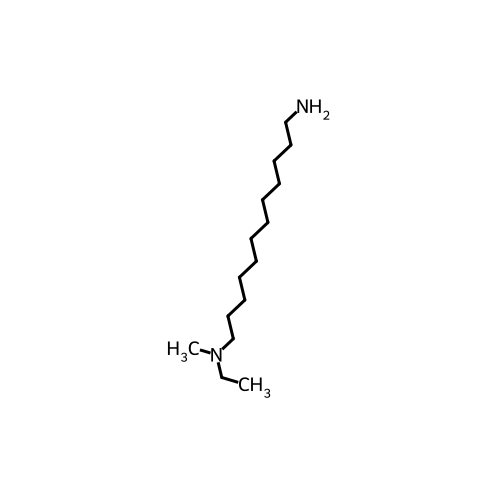 CCN(C)CCCCCCCCCCCCN